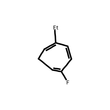 CCC1=CCC=C(F)C=C1